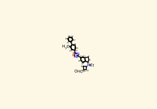 CCN(C1CCc2cc(-c3noc(-c4ccc(-c5ccccc5)c(C)c4)n3)ccc21)[C@H]1C[C@H](C=O)C1